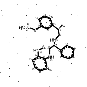 C[C@@H](CN[C@@H](c1ccccc1)[C@H]1CNc2cccnc2N1)c1cccc(CC(=O)O)c1